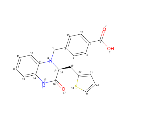 O=C(O)c1ccc(CN2c3ccccc3NC(=O)[C@@H]2Cc2cccs2)cc1